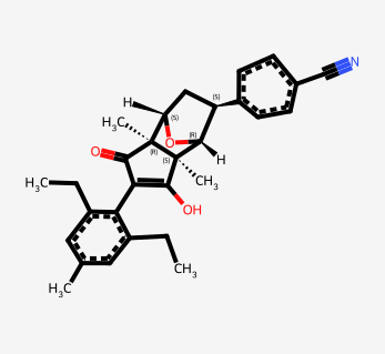 CCc1cc(C)cc(CC)c1C1=C(O)[C@]2(C)[C@@H]3O[C@@H](C[C@H]3c3ccc(C#N)cc3)[C@]2(C)C1=O